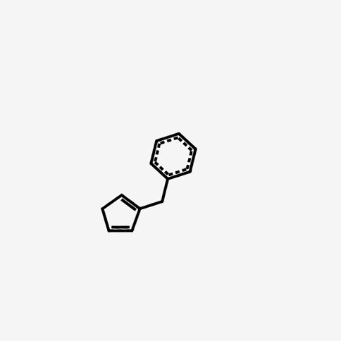 C1=CC(Cc2ccccc2)=CC1